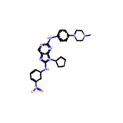 CN1CCN(c2ccc(Nc3ncc4nc(NC5C=CC=C([N+](=O)[O-])C5)n(C5CCCC5)c4n3)cc2)CC1